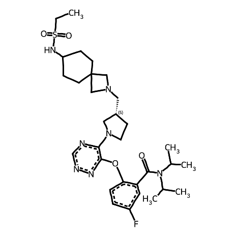 CCS(=O)(=O)NC1CCC2(CC1)CN(C[C@@H]1CCN(c3ncnnc3Oc3ccc(F)cc3C(=O)N(C(C)C)C(C)C)C1)C2